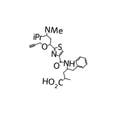 C#CCOC(CC(NC)C(C)C)c1nc(C(=O)NC(Cc2ccccc2)CC(C)C(=O)O)cs1